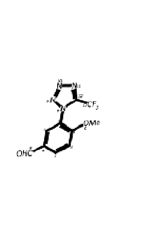 COc1ccc(C=O)cc1-n1nnnc1C(F)(F)F